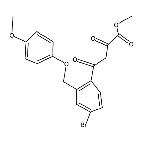 COC(=O)C(=O)CC(=O)c1ccc(Br)cc1COc1ccc(OC)cc1